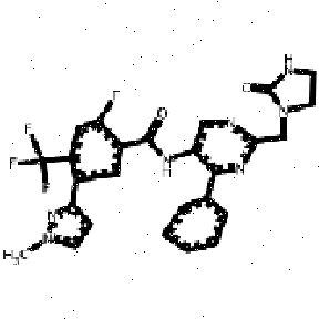 Cn1ccc(-c2cc(C(=O)Nc3cnc(CN4CCNC4=O)nc3-c3ccccc3)c(F)cc2C(F)(F)F)n1